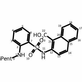 CCCC(C)Nc1ccccc1S(=O)(=O)Nc1ccc2ccccc2c1C(=O)O